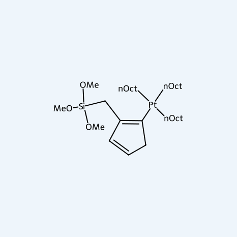 CCCCCCC[CH2][Pt]([CH2]CCCCCCC)([CH2]CCCCCCC)[C]1=C(C[Si](OC)(OC)OC)C=CC1